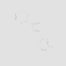 FC(F)(F)c1ccc(-c2csc(-c3cc(C(F)(F)F)cc(C(F)(F)F)c3)n2)cc1